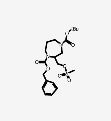 CC(C)(C)OC(=O)N1CCCN(C(=O)OCc2ccccc2)C(COS(C)(=O)=O)C1